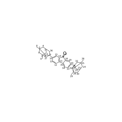 CC12CC3CC(C)(C1)CC(c1ccc4c(c1)C(=O)c1cc(C56CC7CC(C)(CC(C)(C7)C5)C6)ccc1-4)(C3)C2